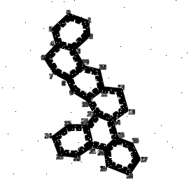 c1ccc2c(c1)ccc1cc3c(ccc4c5ccccc5c5ccccc5c34)cc12